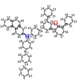 c1ccc(-c2ccc(-c3ccc(N(c4ccc(-c5cc(-c6ccccc6)c6oc7c(-c8ccccc8)cccc7c6c5)cc4)c4ccc5c(ccc6ccccc65)c4)cc3)cc2)cc1